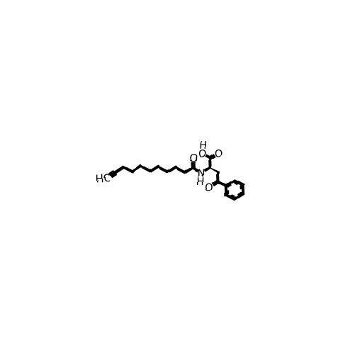 C#CCCCCCCCCC(=O)N[C@H](CC(=O)c1ccccc1)C(=O)O